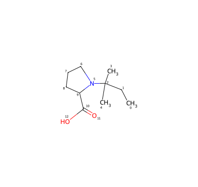 CCC(C)(C)N1CCCC1C(=O)O